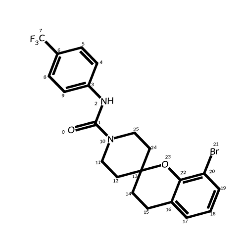 O=C(Nc1ccc(C(F)(F)F)cc1)N1CCC2(CCc3cccc(Br)c3O2)CC1